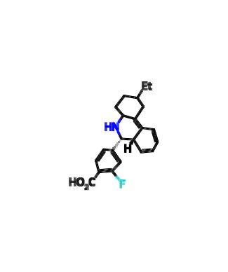 CCC1CCC2N[C@@H](c3ccc(C(=O)O)c(F)c3)[C@H]3C=CC=CC3=C2C1